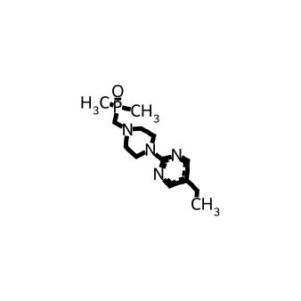 CCc1cnc(N2CCN(CP(C)(C)=O)CC2)nc1